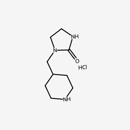 Cl.O=C1NCCN1CC1CCNCC1